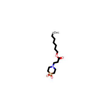 CCCCCCCCCCCCCCCCOC(=O)CCN1CCS(=O)(=O)CC1